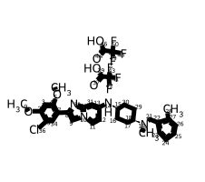 COc1cc(OC)c(-c2cn3ccc(N[C@H]4CC[C@@H](N(C)Cc5ccccc5C)CC4)cc3n2)cc1Cl.O=C(O)C(F)(F)F.O=C(O)C(F)(F)F